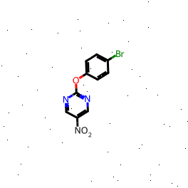 O=[N+]([O-])c1cnc(Oc2ccc(Br)cc2)nc1